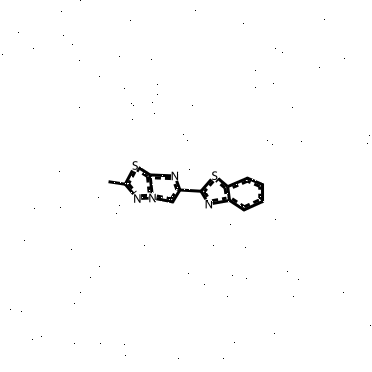 Cc1nn2cc(-c3nc4ccccc4s3)nc2s1